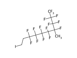 CC(F)(C(F)(F)C(F)(F)C(F)(F)F)C(F)(F)C(F)(F)C(F)(F)C(F)(F)CCI